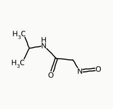 CC(C)NC(=O)CN=O